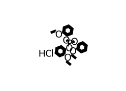 CCOc1ccccc1OP(Oc1ccccc1OCC)Oc1ccccc1OCC.Cl